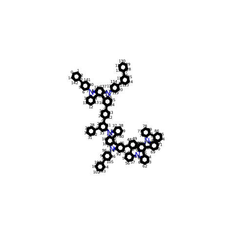 c1ccc(-c2ccc(-n3c4ccccc4c4c5c6cc(-c7ccc(-c8cc(-c9ccccc9)cc(-n9c%10ccccc%10c%10c%11c%12cc(-c%13ccccc%13-c%13ccccc%13-n%13c%14ccccc%14c%14c%15c%16ccccc%16n(-c%16ccccc%16-c%16ccccc%16)c%15ccc%14%13)ccc%12n(-c%12ccc(-c%13ccccc%13)cc%12)c%11ccc%109)c8)cc7)ccc6n(-c6ccc(-c7cccc(-c8ccccc8)c7)cc6)c5ccc43)cc2)cc1